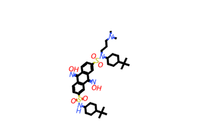 CN(C)CCCN(C1CCC(C(C)(C)C)CC1)S(=O)(=O)c1ccc2c(c1)C(=NO)c1cc(S(=O)(=O)NC3CCC(C(C)(C)C)CC3)ccc1C2=NO